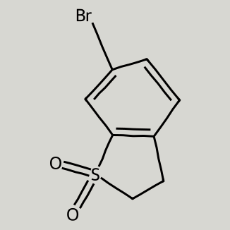 O=S1(=O)CCc2ccc(Br)cc21